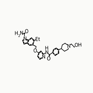 CCc1cc2c(ccn2C(N)=O)cc1COc1ccnc(NC(=O)c2ccc(C3CCN(CCO)CC3)cc2)c1